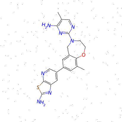 Cc1cnc(N2CCOc3c(C)cc(-c4cnc5sc(N)nc5c4)cc3C2)nc1N